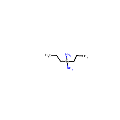 CC[CH2][Sn]([NH2])([NH2])[CH2]CC